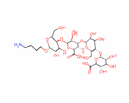 NCCCCO[C@@H]1OC(CO)[C@@H](O[C@@H]2OC(C(=O)O)[C@@H](O)C(O[C@@H]3OC(CO)[C@@H](O[C@@H]4OC(C(=O)O)[C@@H](O)C(O)[C@@H]4O)[C@H](O)C3O)[C@@H]2O)C(O)[C@@H]1O